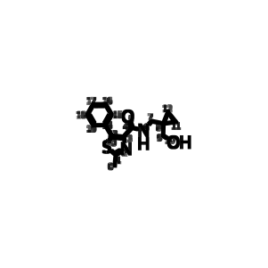 Cc1nc(C(=O)NCC2(CO)CC2)c(-c2ccccc2)s1